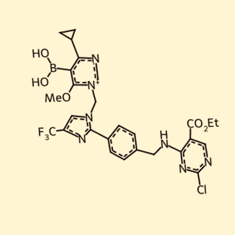 CCOC(=O)c1cnc(Cl)nc1NCc1ccc(-c2nc(C(F)(F)F)cn2C[n+]2cnc(C3CC3)c(B(O)O)c2OC)cc1